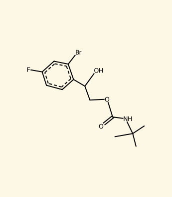 CC(C)(C)NC(=O)OCC(O)c1ccc(F)cc1Br